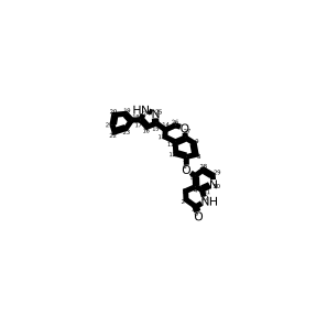 O=C1CCc2c(Oc3ccc4c(c3)CC(c3cc(-c5ccccc5)[nH]n3)CO4)ccnc2N1